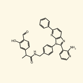 CC(C(=O)NCc1ccc(-n2c(-c3cccnc3N)nc3ccc(-c4ccccc4)nc32)cc1)c1ccc(C=O)c(O)c1